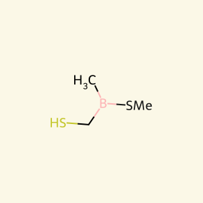 CSB(C)CS